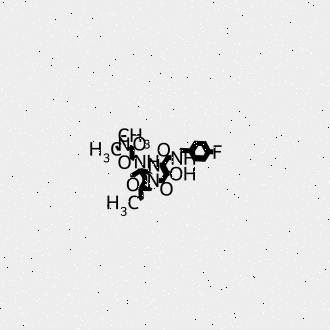 CCC12CCC(NC(=O)C(=O)N(C)C)(CO1)c1nc(C(=O)NCc3ccc(F)cc3)c(O)c(=O)n1C2